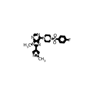 Cn1cc(-c2nc3c(N4CCN(S(=O)(=O)c5ccc(F)cc5)CC4)ncnc3n2C)cn1